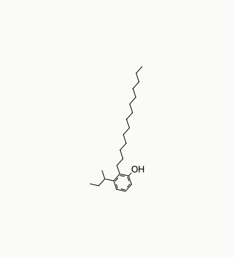 CCCCCCCCCCCCCCc1c(O)cccc1C(C)CC